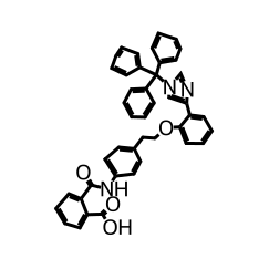 O=C(O)c1ccccc1C(=O)Nc1ccc(CCOc2ccccc2-c2cn(C(c3ccccc3)(c3ccccc3)c3ccccc3)cn2)cc1